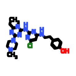 CCc1nc(Nc2nc(Cl)cc(NCCc3ccc(O)cc3)n2)nc(N2CCN(C)CC2)n1